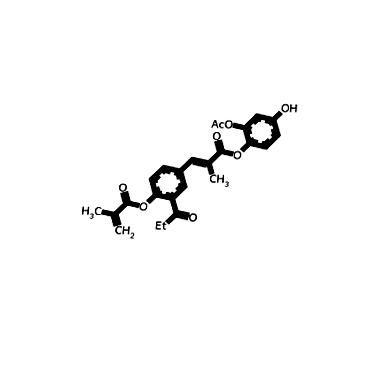 C=C(C)C(=O)Oc1ccc(/C=C(\C)C(=O)Oc2ccc(O)cc2OC(C)=O)cc1C(=O)CC